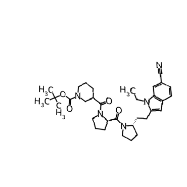 CCn1c(CC[C@@H]2CCCN2C(=O)[C@H]2CCCN2C(=O)C2CCCN(C(=O)OC(C)(C)C)C2)cc2ccc(C#N)cc21